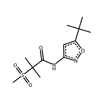 CC(C)(C)c1cc(NC(=O)C(C)(C)S(C)(=O)=O)no1